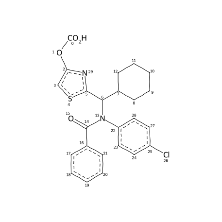 O=C(O)Oc1csc(C(C2CCCCC2)N(C(=O)c2ccccc2)c2ccc(Cl)cc2)n1